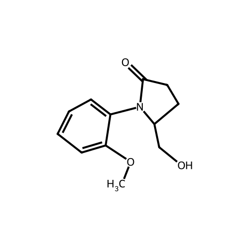 COc1ccccc1N1C(=O)CCC1CO